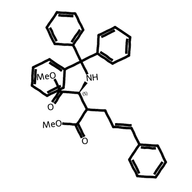 COC(=O)C(CC=Cc1ccccc1)[C@H](NC(c1ccccc1)(c1ccccc1)c1ccccc1)C(=O)OC